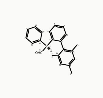 Cc1cc(C)c(-c2ccccc2P(=O)(C=O)c2ccccc2)c(C)c1